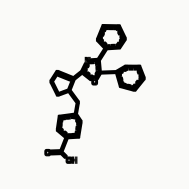 O=C(O)c1ccc(CC2CCC=C2c2nc(-c3ccccc3)c(-c3ccccc3)o2)cc1